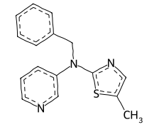 Cc1cnc(N(Cc2ccccc2)c2cccnc2)s1